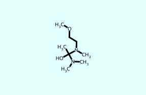 COCCN(C)C(C)(O)N(C)C